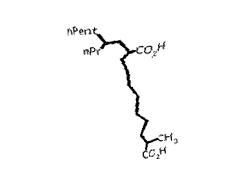 CCCCCC(CCC)CC(CCCCCCCC(C)C(=O)O)C(=O)O